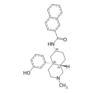 CN1CC[C@@]2(c3cccc(O)c3)C[C@H](NC(=O)c3ccc4ccccc4c3)CC[C@@H]2C1